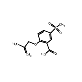 C=C(C)COc1ccc(S(C)(=O)=O)cc1C(=O)O